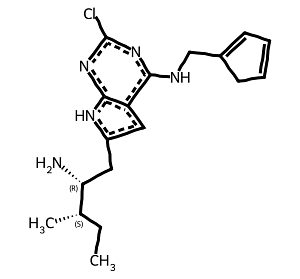 CC[C@H](C)[C@H](N)Cc1cc2c(NCC3=CC=CC3)nc(Cl)nc2[nH]1